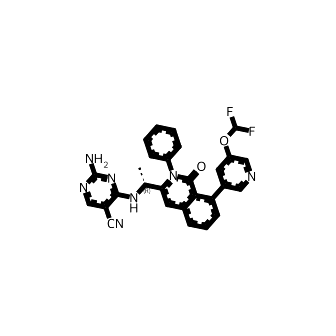 C[C@@H](Nc1nc(N)ncc1C#N)c1cc2cccc(-c3cncc(OC(F)F)c3)c2c(=O)n1-c1ccccc1